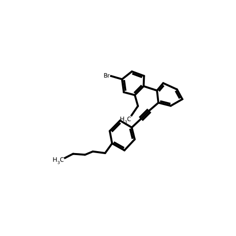 CCCCCc1ccc(C#Cc2ccccc2-c2ccc(Br)cc2CC)cc1